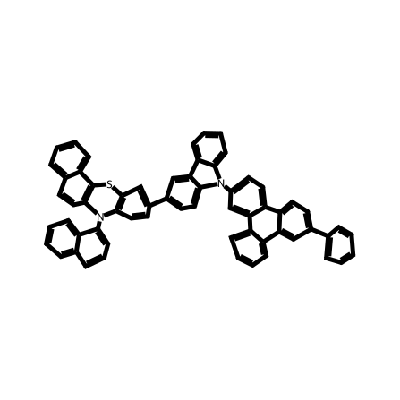 c1ccc(-c2ccc3c4ccc(-n5c6ccccc6c6cc(-c7ccc8c(c7)Sc7c(ccc9ccccc79)N8c7cccc8ccccc78)ccc65)cc4c4ccccc4c3c2)cc1